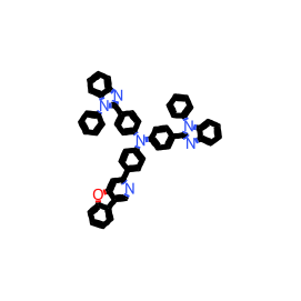 c1ccc(-n2c(-c3ccc(N(c4ccc(-c5cc6oc7ccccc7c6cn5)cc4)c4ccc(-c5nc6ccccc6n5-c5ccccc5)cc4)cc3)nc3ccccc32)cc1